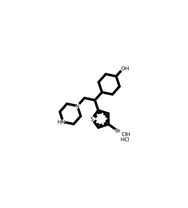 Cl.Cl.OC1CCC(C(CN2CCNCC2)c2cc(Br)cs2)CC1